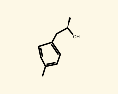 Cc1ccc(C[C@@H](C)O)cc1